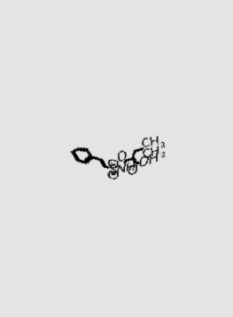 CC(C)CC(C(=O)O)C(=O)NS(=O)(=O)C=Cc1ccccc1